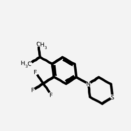 CC(C)c1ccc(N2CCSCC2)cc1C(F)(F)F